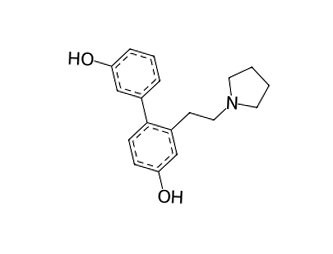 Oc1cccc(-c2ccc(O)cc2CCN2CCCC2)c1